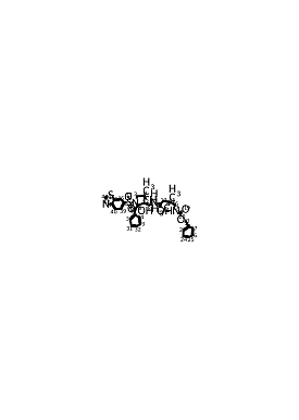 CC(C)CN(C(O)(CCNC(=O)CC(C)(C)CNC(=O)OCc1ccccc1)Cc1ccccc1)S(=O)(=O)c1ccc2ncsc2c1